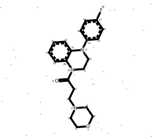 O=C(CCN1CCOCC1)N1CCN(c2ccc(F)cc2)c2ccccc21